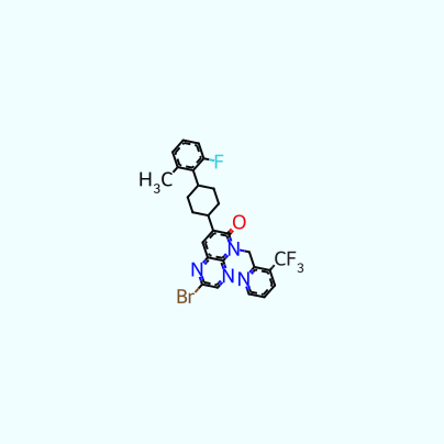 Cc1cccc(F)c1C1CCC(c2cc3nc(Br)cnc3n(Cc3ncccc3C(F)(F)F)c2=O)CC1